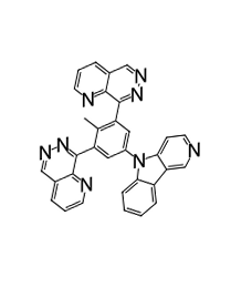 Cc1c(-c2nncc3cccnc23)cc(-n2c3ccccc3c3cnccc32)cc1-c1nncc2cccnc12